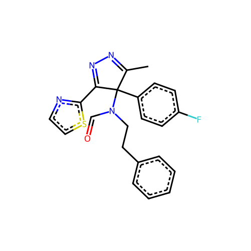 CC1=NN=C(c2nccs2)C1(c1ccc(F)cc1)N(C=O)CCc1ccccc1